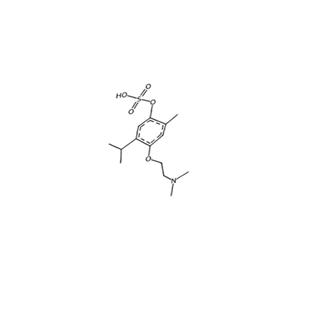 Cc1cc(OCCN(C)C)c(C(C)C)cc1OS(=O)(=O)O